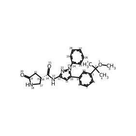 COC(C)(C)c1cccc(-c2cc(NC(=O)[C@@H]3CNC(=O)C3)nn2-c2ccccc2)c1